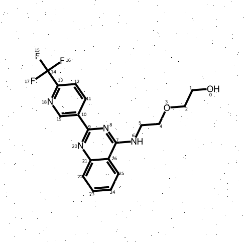 OCCOCCNc1nc(-c2ccc(C(F)(F)F)nc2)nc2ccccc12